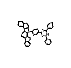 c1ccc(-c2nc(-c3ccccc3)nc(-c3ccc(-n4c5ccc6ccccc6c5c5ccc6c7ccccc7sc6c54)nc3)n2)cc1